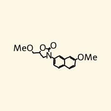 COCC1CN(c2ccc3ccc(OC)cc3c2)C(=O)O1